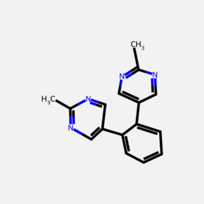 Cc1ncc(-c2ccccc2-c2cnc(C)nc2)cn1